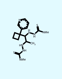 CNC(=S)NNC(C)C(NNC(=S)NC)C1(c2cccnc2)CCC1